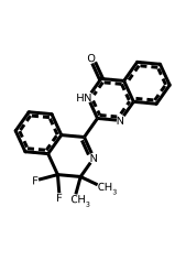 CC1(C)N=C(c2nc3ccccc3c(=O)[nH]2)c2ccccc2C1(F)F